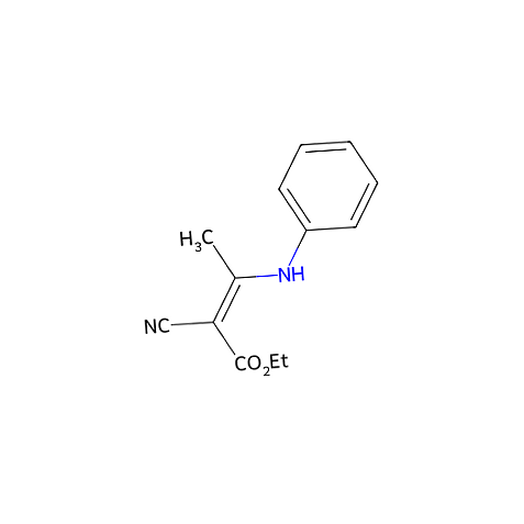 CCOC(=O)/C(C#N)=C(/C)Nc1ccccc1